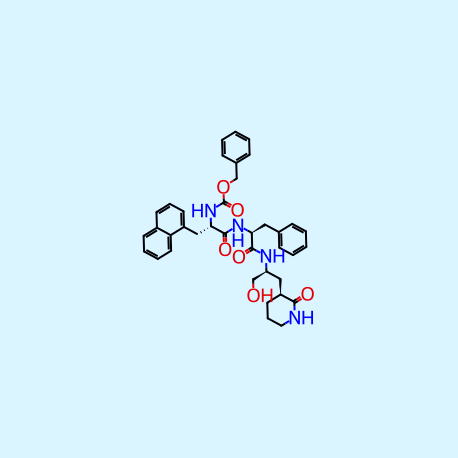 O=C(N[C@@H](Cc1cccc2ccccc12)C(=O)N[C@@H](Cc1ccccc1)C(=O)N[C@H](CO)C[C@@H]1CCCNC1=O)OCc1ccccc1